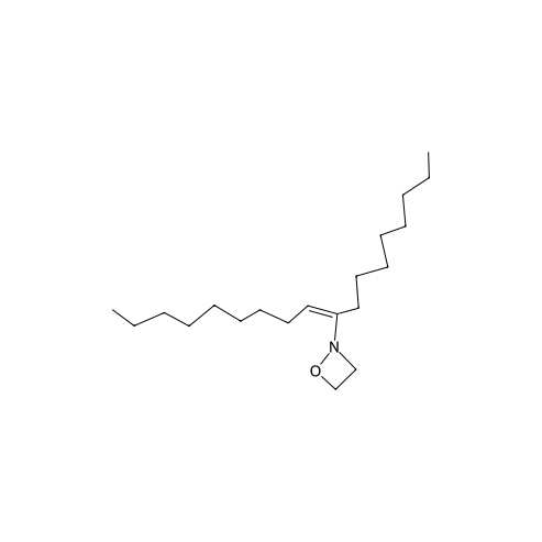 CCCCCCCC/C=C(/CCCCCCCC)N1CCO1